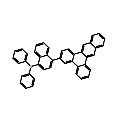 c1ccc(N(c2ccccc2)c2ccc(-c3ccc4c(c3)c3ccccc3c3cc5ccccc5cc43)c3ccccc23)cc1